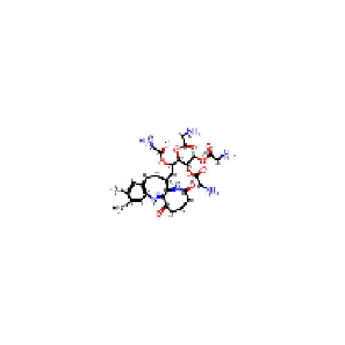 Cc1cc2c(cc1C)/N=C1C(=O)CCCC(=O)\N=C/1C(CC(OC(=O)CN)C(OC(=O)CN)C(COC(=O)CN)OC(=O)CN)CC2